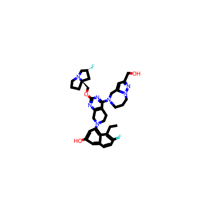 CCc1c(F)ccc2cc(O)cc(N3CCc4c(nc(OC[C@@]56CCCN5C[C@H](F)C6)nc4N4CCCn5nc(CO)cc5C4)C3)c12